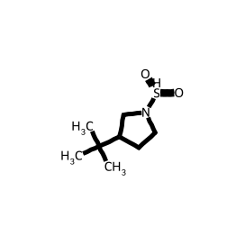 CC(C)(C)C1CCN([SH](=O)=O)C1